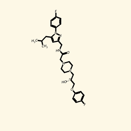 CC(C)Cc1cc(CNC(=O)CN2CCN(C[C@@H](O)COc3ccc(F)cc3)CC2)nn1-c1ccc(F)cc1